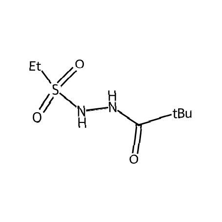 CCS(=O)(=O)NNC(=O)C(C)(C)C